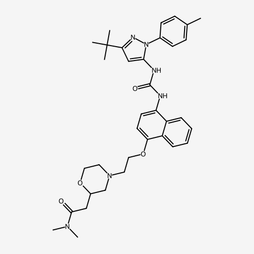 Cc1ccc(-n2nc(C(C)(C)C)cc2NC(=O)Nc2ccc(OCCN3CCOC(CC(=O)N(C)C)C3)c3ccccc23)cc1